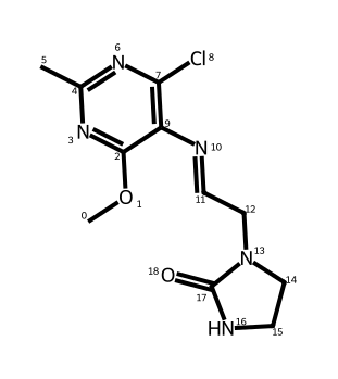 COc1nc(C)nc(Cl)c1N=CCN1CCNC1=O